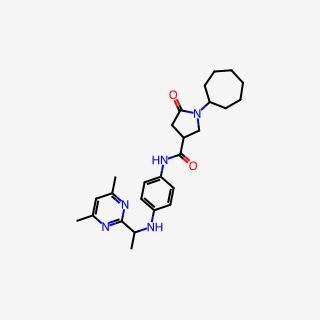 Cc1cc(C)nc(C(C)Nc2ccc(NC(=O)C3CC(=O)N(C4CCCCCC4)C3)cc2)n1